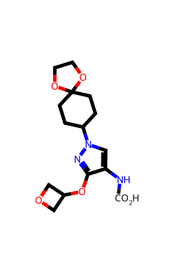 O=C(O)Nc1cn(C2CCC3(CC2)OCCO3)nc1OC1COC1